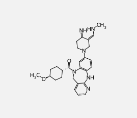 CN/C=C1/CN(c2ccc3c(c2)N(C(=O)[C@H]2CC[C@H](OC)CC2)Cc2cccnc2N3)CCC1=N